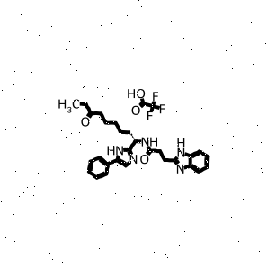 CCC(=O)CCCCC[C@H](NC(=O)CCc1nc2ccccc2[nH]1)c1ncc(-c2ccccc2)[nH]1.O=C(O)C(F)(F)F